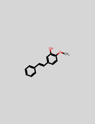 COc1ccc(C=Cc2ccccc2)cc1O